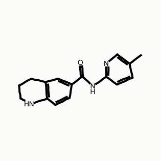 Cc1ccc(NC(=O)c2ccc3c(c2)CCCN3)nc1